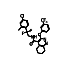 Cc1cc(Cl)ccc1C(F)(F)CNC(=O)c1c(Oc2cccc(C(F)(F)F)c2)nnc2c1CCCC2